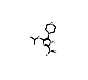 CC(C)Oc1nc([N+](=O)[O-])[nH]c1N1CCOCC1